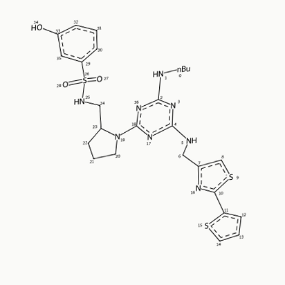 CCCCNc1nc(NCc2csc(-c3cccs3)n2)nc(N2CCCC2CNS(=O)(=O)c2cccc(O)c2)n1